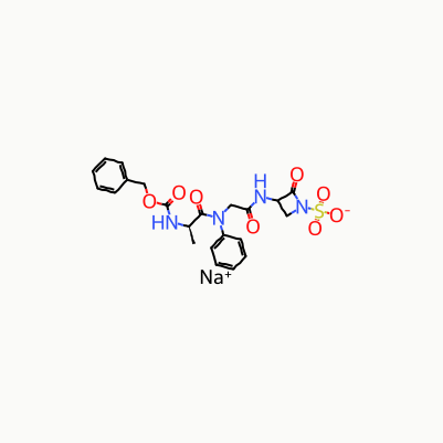 C[C@@H](NC(=O)OCc1ccccc1)C(=O)N(CC(=O)NC1CN(S(=O)(=O)[O-])C1=O)c1ccccc1.[Na+]